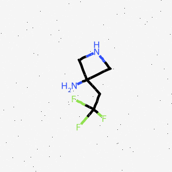 NC1(CC(F)(F)F)CNC1